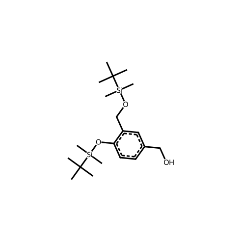 CC(C)(C)[Si](C)(C)OCc1cc(CO)ccc1O[Si](C)(C)C(C)(C)C